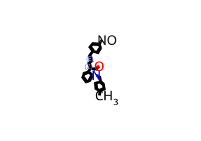 Cc1ccc(CN2C(=O)/C(=C\C=C\c3ccc(N=O)cc3)c3ccccc32)cc1